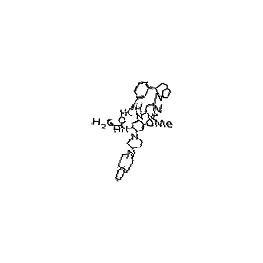 C#Cc1cccc([C@H]2CCON2c2cc(Nc3cc(NC(=O)C=C)c(N4CCC(N5CCOCC5)CC4)cc3OC)ncn2)c1